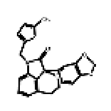 O=C1N(Cc2ccc(C(F)(F)F)s2)c2cccc3c2C1(c1ccc2c(c1)OCO2)OCC3